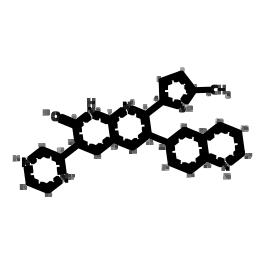 Cc1ccc(-c2nc3[nH]c(=O)c(-c4cnccn4)cc3cc2-c2ccc3ncccc3c2)s1